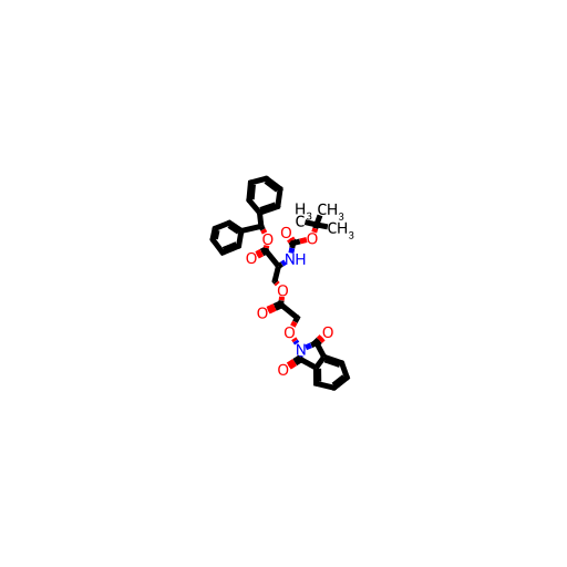 CC(C)(C)OC(=O)NC(COC(=O)CON1C(=O)c2ccccc2C1=O)C(=O)OC(c1ccccc1)c1ccccc1